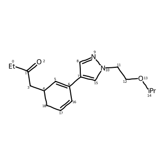 CCC(=O)CC1C=C(c2cnn(CCOC(C)C)c2)C=CC1